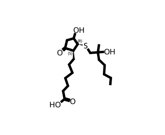 CCCCCC(C)(O)CS[C@H]1C(O)CC(=O)[C@@H]1CCCCCCC(=O)O